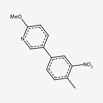 COc1ccc(-c2ccc(C)c([N+](=O)[O-])c2)cn1